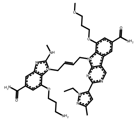 CCn1nc(C)cc1-c1ncc2c3cc(C(N)=O)cc(OCCCOC)c3n(C/C=C/Cn3c(NC)nc4cc(C(N)=O)cc(OCCCN)c43)c2n1